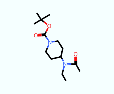 CCN(C(C)=O)C1CCN(C(=O)OC(C)(C)C)CC1